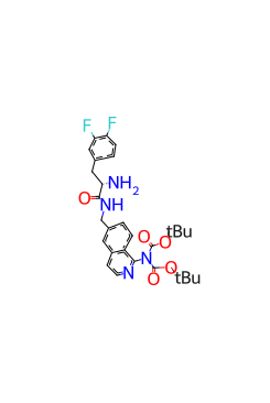 CC(C)(C)OC(=O)N(C(=O)OC(C)(C)C)c1nccc2cc(CNC(=O)[C@@H](N)Cc3ccc(F)c(F)c3)ccc12